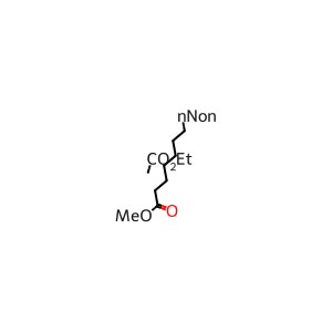 CCCCCCCCCCCCCCCC(=O)OC.CCOC(C)=O